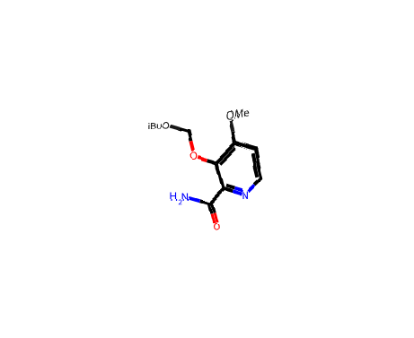 COc1ccnc(C(N)=O)c1OCOCC(C)C